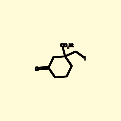 CCOC(=O)C1(CI)CCCC(=O)C1